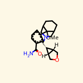 COC1(c2cccc(C(N)=O)c2)C2CCCC1CN(C[C@@H]1[C@@H]3COC[C@@H]31)C2